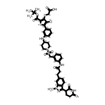 Cn1nc(C2CCC(=O)NC2=O)c2ccc(CCC(=O)Nc3cccc(CS(=O)(=O)N4CCC(Nc5cccc(-c6sc(C(=O)OC(C)(C)C)c(OCC(=O)O)c6Cl)c5)CC4)c3)cc21